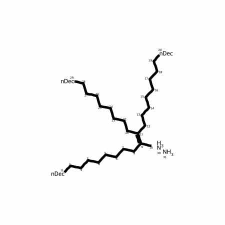 CCCCCCCCCCCCCCCCCCC(C)=C(CCCCCCCCCCCCCCCCCC)CCCCCCCCCCCCCCCCCC.N.N